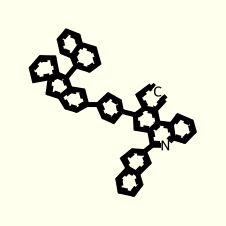 c1ccc2cc(-c3nc4ccccc4c4c3cc(-c3ccc(-c5ccc6cc7ccccc7c(-c7cccc8ccccc78)c6c5)cc3)c3ccccc34)ccc2c1